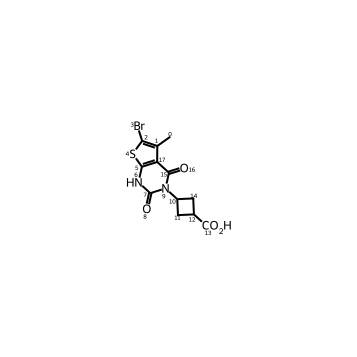 Cc1c(Br)sc2[nH]c(=O)n(C3CC(C(=O)O)C3)c(=O)c12